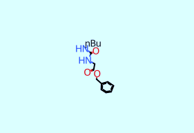 CCCCNC(=O)NCC(=O)OCc1ccccc1